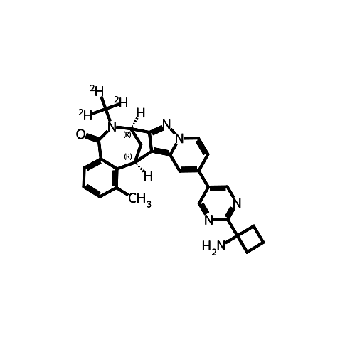 [2H]C([2H])([2H])N1C(=O)c2cccc(C)c2[C@H]2C[C@@H]1c1nn3ccc(-c4cnc(C5(N)CCC5)nc4)cc3c12